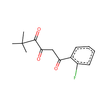 CC(C)(C)C(=O)C(=O)CC(=O)c1ccccc1F